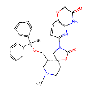 CC(C)(C)[Si](OCC1CN(C(=O)O)CCC12CN(c1ccc3c(n1)NC(=O)CO3)C(=O)O2)(c1ccccc1)c1ccccc1